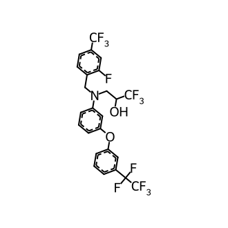 OC(CN(Cc1ccc(C(F)(F)F)cc1F)c1cccc(Oc2cccc(C(F)(F)C(F)(F)F)c2)c1)C(F)(F)F